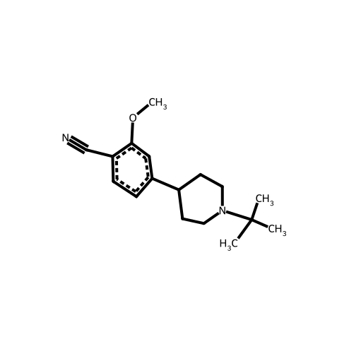 COc1cc(C2CCN(C(C)(C)C)CC2)ccc1C#N